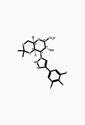 CC1(C)OC[C@H]2O[C@@H](C(=O)O)[C@H](O)[C@@H](N3C=C(c4cc(F)c(F)c(F)c4)NN3)[C@H]2O1